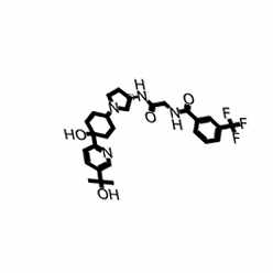 CC(C)(O)c1ccc(C2(O)CCC(N3CC[C@@H](NC(=O)CNC(=O)c4cccc(C(F)(F)F)c4)C3)CC2)nc1